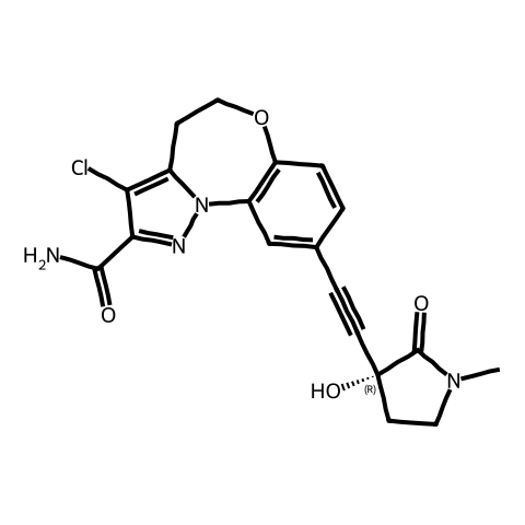 CN1CC[C@@](O)(C#Cc2ccc3c(c2)-n2nc(C(N)=O)c(Cl)c2CCO3)C1=O